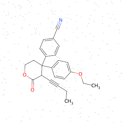 CCC#CC1C(=O)OCCC1(c1ccc(C#N)cc1)c1ccc(OCC)cc1